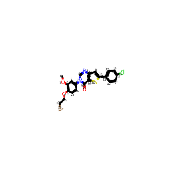 COc1cc(-n2cnc3cc(-c4ccc(Cl)cc4)sc3c2=O)ccc1OCCBr